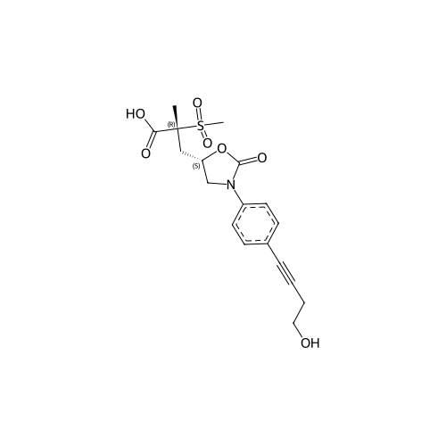 C[C@@](C[C@H]1CN(c2ccc(C#CCCO)cc2)C(=O)O1)(C(=O)O)S(C)(=O)=O